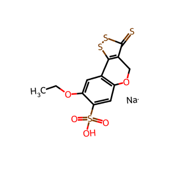 CCOc1cc2c(cc1S(=O)(=O)O)OCc1c-2ssc1=S.[Na]